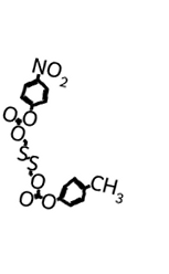 Cc1ccc(OC(=O)OCSSCOC(=O)Oc2ccc([N+](=O)[O-])cc2)cc1